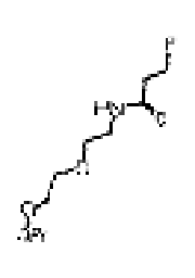 CCCOCCOCCNC(=O)CCF